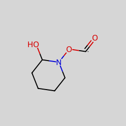 O=[C]ON1CCCCC1O